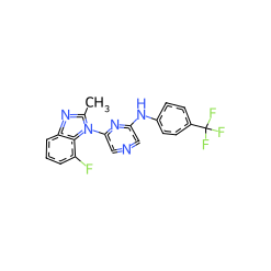 Cc1nc2cccc(F)c2n1-c1cncc(Nc2ccc(C(F)(F)F)cc2)n1